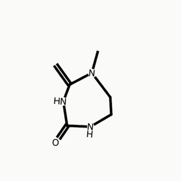 C=C1NC(=O)NCCN1C